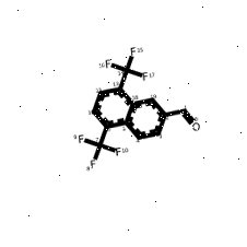 O=Cc1ccc2c(C(F)(F)F)ccc(C(F)(F)F)c2c1